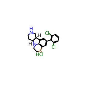 Cl.Clc1cccc(Cl)c1-c1cc2c3c(c1)[C@@H]1CNCC[C@@H]1N3CCS2